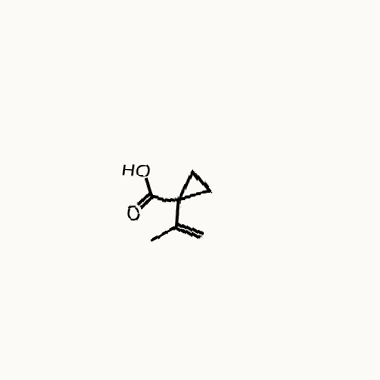 C=C(C)C1(C(=O)O)CC1